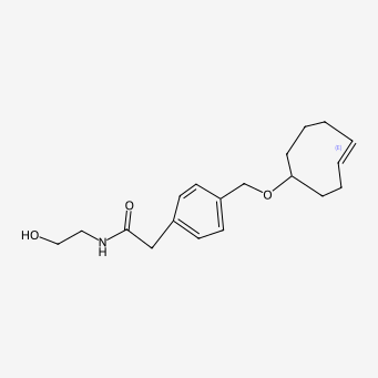 O=C(Cc1ccc(COC2CC/C=C/CCC2)cc1)NCCO